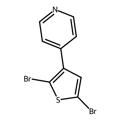 Brc1cc(-c2ccncc2)c(Br)s1